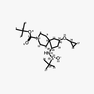 CC(C)(C)OC(=O)N1CCC2(CC1)C[C@@H](OC1CC1)C[C@H]2N[S@+]([O-])C(C)(C)C